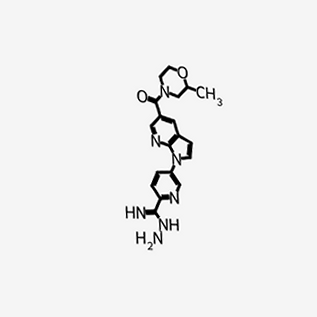 CC1CN(C(=O)c2cnc3c(ccn3-c3ccc(C(=N)NN)nc3)c2)CCO1